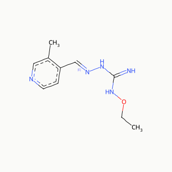 CCONC(=N)N/N=C/c1ccncc1C